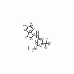 Cc1cc2c(cc1C)C(Nc1nc(N)nc(C(C)(C)F)n1)CC2